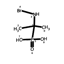 CC(C)(NBr)P(=O)(O)O